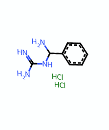 Cl.Cl.N=C(N)NC(N)c1ccccc1